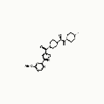 COc1cc(-c2cc(C(=O)N3CCC(C(=O)N[C@H]4CC[C@@H](C)CC4)CC3)n[nH]2)ncn1